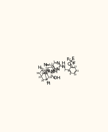 N#Cc1cnc(NCc2ccccc2OC(F)(F)F)nc1NC[C@@]12CC3C[C@H](C1)C(N1CCC[C@@H]1CO)[C@@H](C3)C2